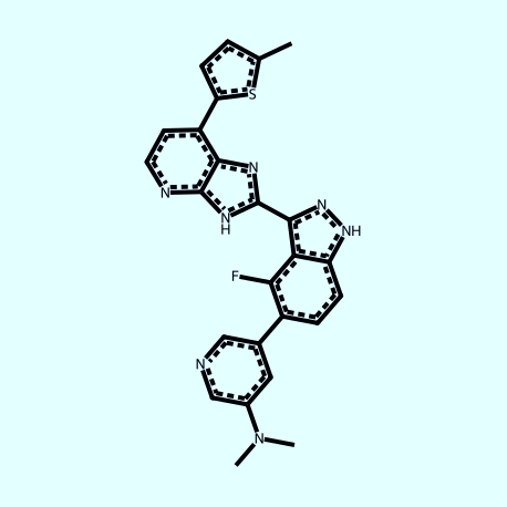 Cc1ccc(-c2ccnc3[nH]c(-c4n[nH]c5ccc(-c6cncc(N(C)C)c6)c(F)c45)nc23)s1